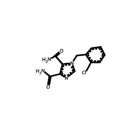 NC(=O)c1ncn(Cc2ccccc2Cl)c1C(N)=O